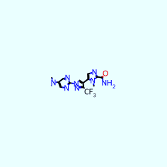 CN(C)c1cnc(-n2cc(-c3cnc(C(N)=O)n3C)c(C(F)(F)F)n2)nc1